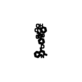 Cc1cc(COc2ccc(S(=O)(=O)N(C)[C@@H]3CC=CC[C@@H]3C(=O)O)cc2)c2ccccc2n1